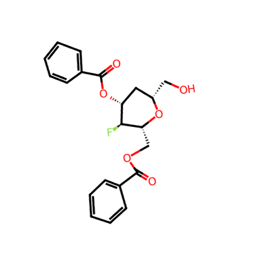 O=C(OC[C@H]1O[C@@H](CO)C[C@@H](OC(=O)c2ccccc2)[C@@H]1F)c1ccccc1